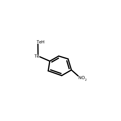 O=[N+]([O-])c1ccc([Te][TeH])cc1